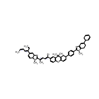 C=C/C(=C\C=C/C)C1=CC2N=C(/C(C)=C/C=C(\CC)c3ccc4c(c3)C(C)(C)C3=C(C=CC(c5ccc(-c6nc7c(n6C)CCC(C6C=CC=CC6)=C7)cc5)C3)O4)N(C)C2C=C1